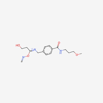 C=NO/C(CCO)=N\Cc1ccc(C(=O)NCCCOC)cc1